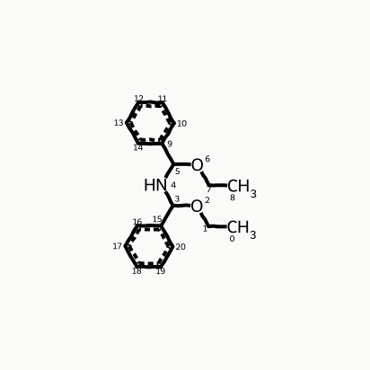 CCOC(NC(OCC)c1ccccc1)c1ccccc1